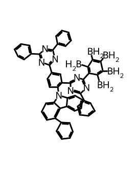 Bc1c(B)c(B)c(-c2nc(-c3ccccc3)nc(-c3cc(-c4nc(-c5ccccc5)nc(-c5ccccc5)n4)ccc3-n3c4ccccc4c4c(-c5ccccc5)cccc43)n2)c(B)c1B